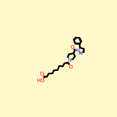 O=C(O)CCCCCCCCC(=O)N1CCC(C(=O)N2N=CCC2c2ccccc2)CC1